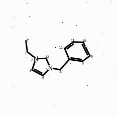 CCN1C=CN(Cc2ccccc2)C1